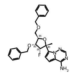 C[C@]1(c2ccc3c(N)ncnn23)O[C@H](COCc2ccccc2)[C@@H](OCc2ccccc2)[C@H]1F